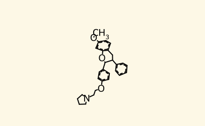 COc1ccc2c(c1)OC(c1ccc(OCCN3CCCC3)cc1)C(c1ccccc1)C2